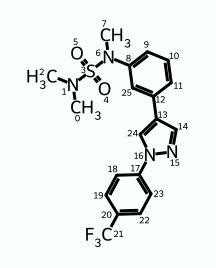 CN(C)S(=O)(=O)N(C)c1cccc(-c2cnn(-c3ccc(C(F)(F)F)cc3)c2)c1